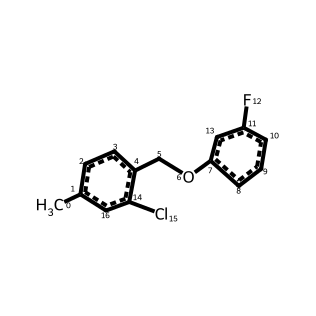 Cc1ccc(COc2cccc(F)c2)c(Cl)c1